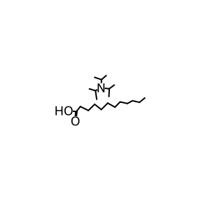 CC(C)N(C(C)C)C(C)C.CCCCCCCCCCCC(=O)O